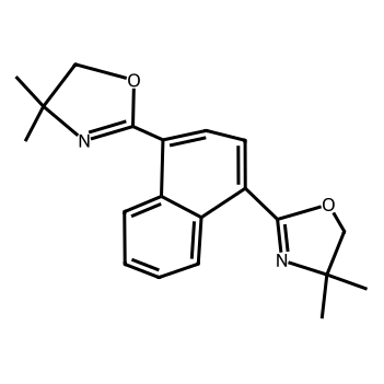 CC1(C)COC(c2ccc(C3=NC(C)(C)CO3)c3ccccc23)=N1